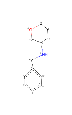 c1ccc(CN[C@H]2CCCOC2)cc1